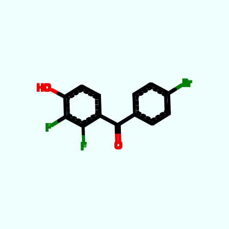 O=C(c1ccc(Br)cc1)c1ccc(O)c(F)c1F